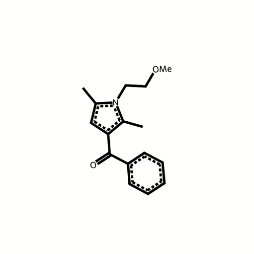 COCCn1c(C)cc(C(=O)c2ccccc2)c1C